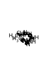 CN(C)CCOc1cncc(-c2cc3c(-c4nc5c(N6CCN(C)CC6)ccnc5[nH]4)n[nH]c3cn2)c1